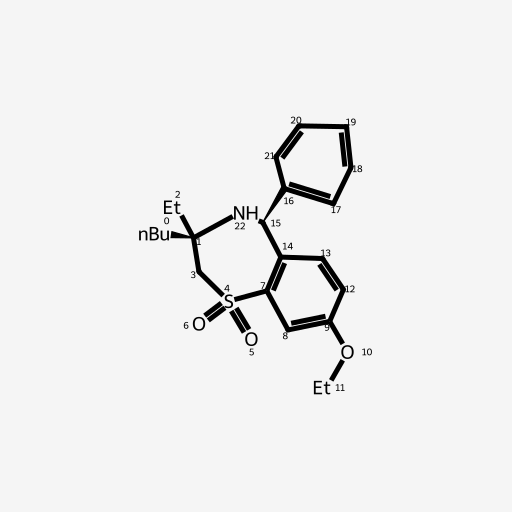 CCCC[C@]1(CC)CS(=O)(=O)c2cc(OCC)ccc2[C@H](c2ccccc2)N1